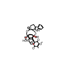 COC1=C(C)C(=O)C2=C(C1=O)C1C3[C@@H]4SC[C@]5(NCCc6c5[nH]c5ccccc65)C(=O)OC[C@@H](c5c6c(c(C)c(O)c54)OCO6)N3[C@@H](O)C(C2)N1C